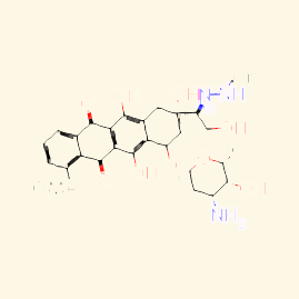 COc1cccc2c1C(=O)c1c(O)c3c(c(O)c1C2=O)C[C@@](O)(/C(CO)=N/NC(C)C)CC3O[C@H]1C[C@H](N)[C@H](O)[C@H](C)O1